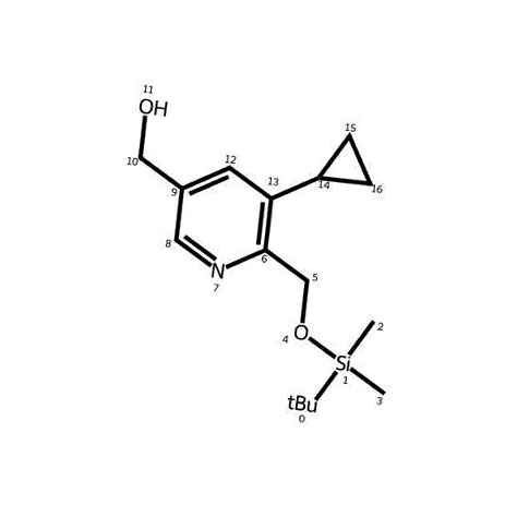 CC(C)(C)[Si](C)(C)OCc1ncc(CO)cc1C1CC1